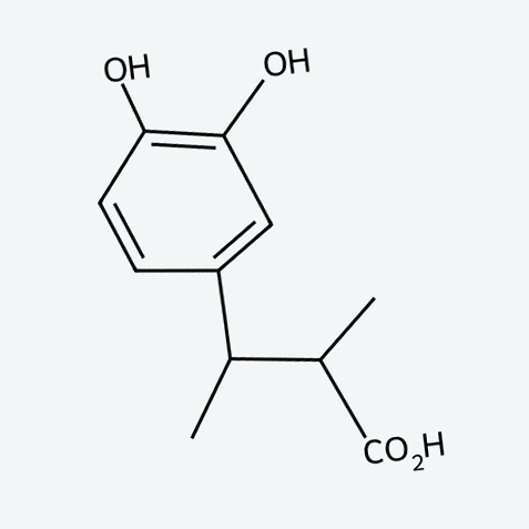 CC(C(=O)O)C(C)c1ccc(O)c(O)c1